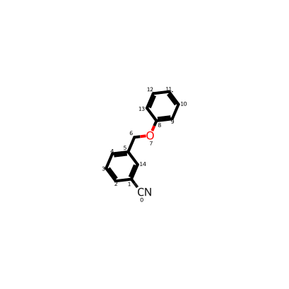 N#Cc1cccc(COc2cc[c]cc2)c1